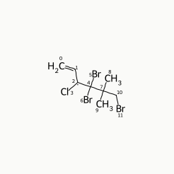 C=C[C](Cl)C(Br)(Br)C(C)(C)CBr